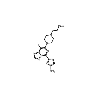 COCCN1CCN(c2nc(-c3ccc(N)o3)n3ncnc3c2C)CC1